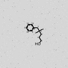 CC(C)(CCCO)Cc1ccccc1